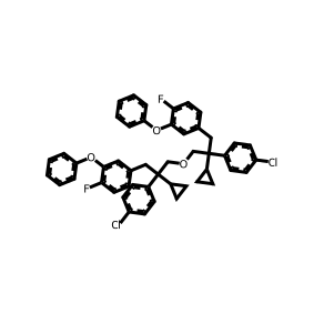 Fc1ccc(CC(COCC(Cc2ccc(F)c(Oc3ccccc3)c2)(c2ccc(Cl)cc2)C2CC2)(c2ccc(Cl)cc2)C2CC2)cc1Oc1ccccc1